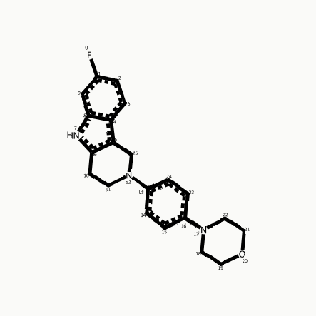 Fc1ccc2c3c([nH]c2c1)CCN(c1ccc(N2CCOCC2)cc1)C3